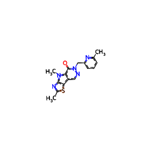 Cc1cccc(Cn2ncc3c4sc(C)nc4n(C)c3c2=O)n1